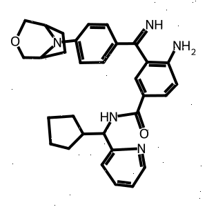 N=C(c1ccc(N2C3CCC2COC3)cc1)c1cc(C(=O)NC(c2ccccn2)C2CCCC2)ccc1N